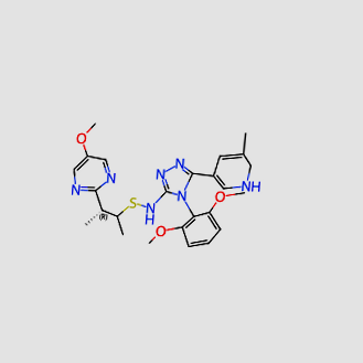 COc1cnc([C@@H](C)C(C)SNc2nnc(C3=CNCC(C)=C3)n2-c2c(OC)cccc2OC)nc1